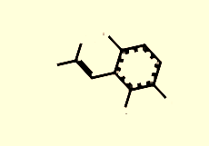 CC(=Cc1c(Br)ccc(Br)c1Br)C(=O)O